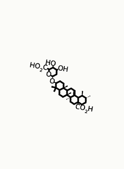 C[C@@H]1CC[C@]2(C(=O)O)CC[C@]3(C)C(=CCC4[C@@]5(C)CC[C@H](O[C@H]6CC(O)[C@H](O)C(C(=O)O)O6)C(C)(C)C5CC[C@]43C)C2[C@H]1C